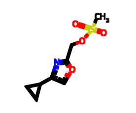 CS(=O)(=O)OCc1nc(C2CC2)co1